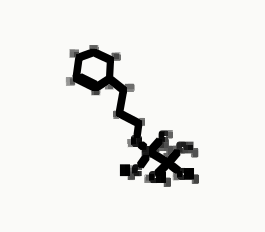 CC(C)(C)[Si](C)(C)OCCCC1C=CCCC1